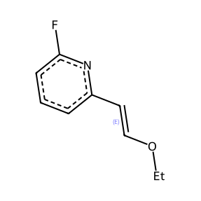 CCO/C=C/c1cccc(F)n1